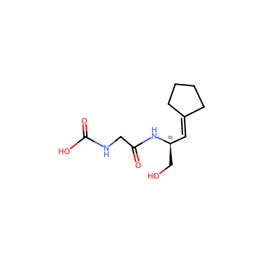 O=C(O)NCC(=O)N[C@@H](C=C1CCCC1)CO